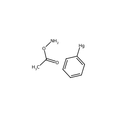 CC(=O)ON.[Hg][c]1ccccc1